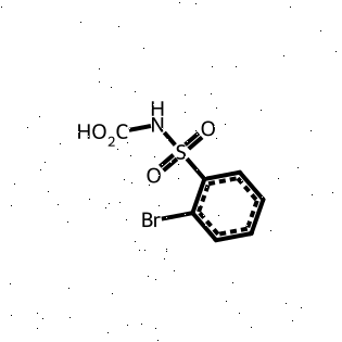 O=C(O)NS(=O)(=O)c1ccccc1Br